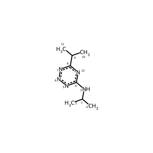 CC(C)Nc1nnnc(C(C)C)n1